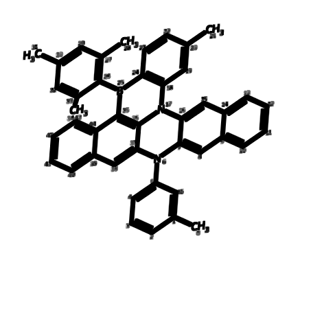 Cc1cccc(N2c3cc4ccccc4cc3N3c4cc(C)ccc4B(c4c(C)cc(C)cc4C)c4c3c2cc2ccccc42)c1